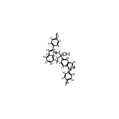 OC(CF)(Cn1c(-c2ccc(F)cc2)cc2ccccc21)c1ccc2c(cnn2-c2ccc(F)cc2)c1